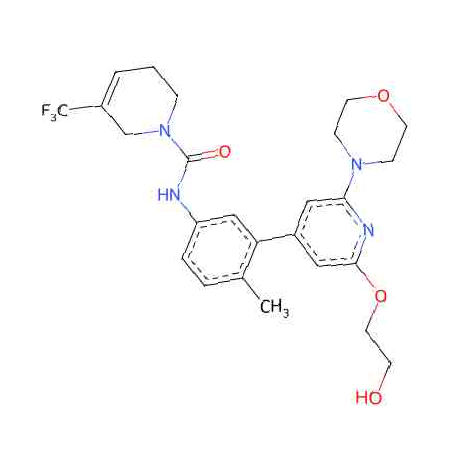 Cc1ccc(NC(=O)N2CCC=C(C(F)(F)F)C2)cc1-c1cc(OCCO)nc(N2CCOCC2)c1